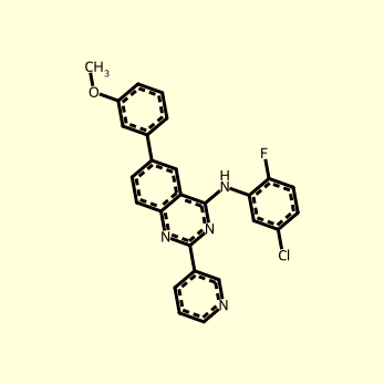 COc1cccc(-c2ccc3nc(-c4cccnc4)nc(Nc4cc(Cl)ccc4F)c3c2)c1